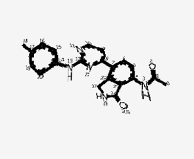 CC(=O)Nc1ccc(-c2ccnc(Nc3ccc(C)cc3)n2)c2c1C(=O)NC2